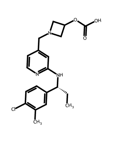 CC[C@@H](Nc1cc(CN2CC(OC(=O)O)C2)ccn1)c1ccc(Cl)c(C)c1